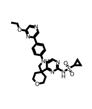 CCOc1cncc(-c2ccc(NCC3(c4ccnc(NS(=O)(=O)C5CC5)n4)CCOCC3)cc2)n1